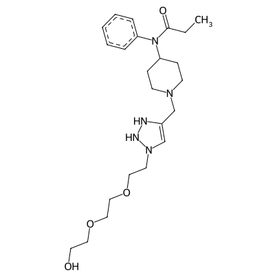 CCC(=O)N(c1ccccc1)C1CCN(CC2=CN(CCOCCOCCO)NN2)CC1